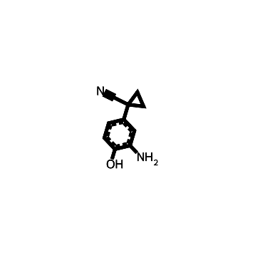 N#CC1(c2ccc(O)c(N)c2)CC1